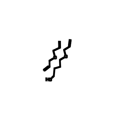 C=CCOCC=C.C=CCOCCCCO